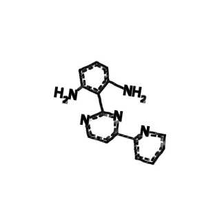 Nc1cccc(N)c1-c1nccc(-c2ccccn2)n1